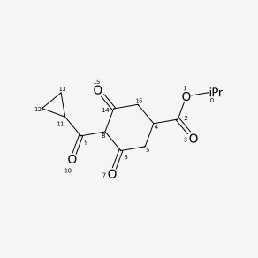 CC(C)OC(=O)C1CC(=O)C(C(=O)C2CC2)C(=O)C1